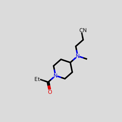 CCC(=O)N1CCC(N(C)CCC#N)CC1